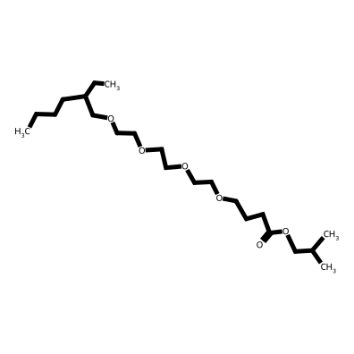 CCCCC(CC)COCCOCCOCCOCCCC(=O)OCC(C)C